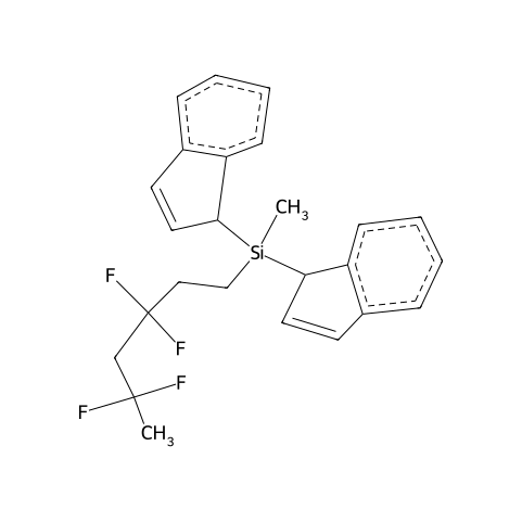 CC(F)(F)CC(F)(F)CC[Si](C)(C1C=Cc2ccccc21)C1C=Cc2ccccc21